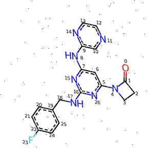 O=C1CCN1c1cc(Nc2cnccn2)nc(NCc2ccc(F)cc2)n1